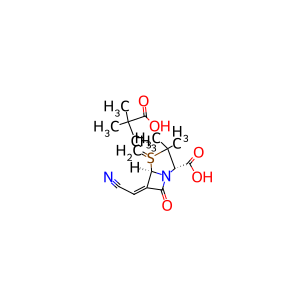 C=S1[C@@H]2C(=CC#N)C(=O)N2[C@@H](C(=O)O)C1(C)C.CC(C)(C)C(=O)O